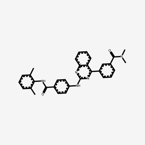 Cc1cccc(C)c1NC(=O)c1ccc(Nc2nc(-c3cccc(C(=O)N(C)C)c3)c3ccccc3n2)cc1